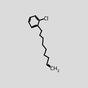 C=CCCCCCCCc1ccccc1Cl